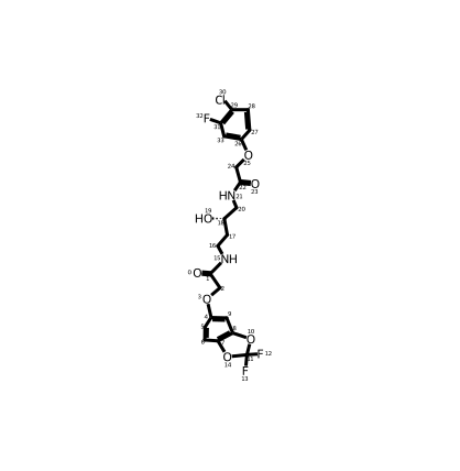 O=C(COc1ccc2c(c1)OC(F)(F)O2)NCC[C@H](O)CNC(=O)COc1ccc(Cl)c(F)c1